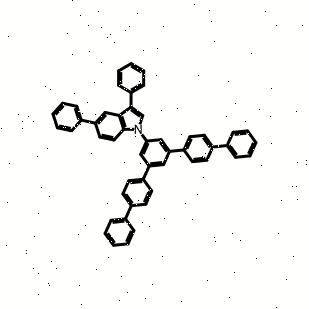 c1ccc(-c2ccc(-c3cc(-c4ccc(-c5ccccc5)cc4)cc(-n4cc(-c5ccccc5)c5cc(-c6ccccc6)ccc54)c3)cc2)cc1